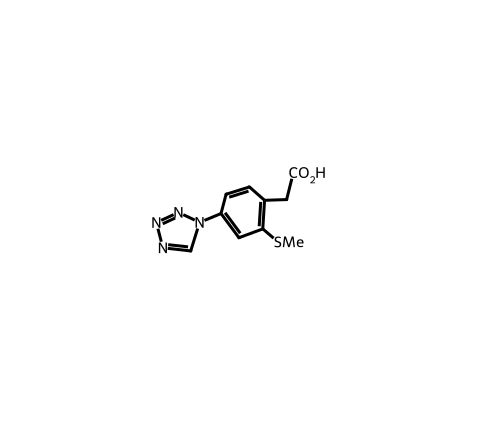 CSc1cc(-n2cnnn2)ccc1CC(=O)O